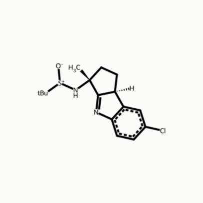 CC(C)(C)[S+]([O-])N[C@]1(C)CC[C@@H]2C1=Nc1ccc(Cl)cc12